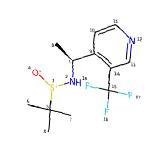 C[C@H](N[S+]([O-])C(C)(C)C)c1ccncc1C(F)(F)F